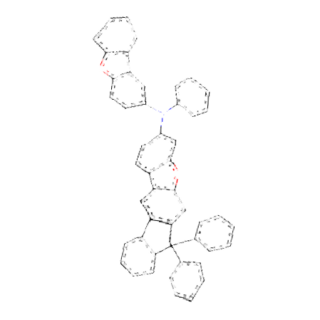 c1ccc(N(c2ccc3c(c2)oc2cc4c(cc23)-c2ccccc2C4(c2ccccc2)c2ccccc2)c2ccc3oc4ccccc4c3c2)cc1